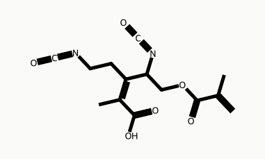 C=C(C)C(=O)OCC(N=C=O)C(CCN=C=O)=C(C)C(=O)O